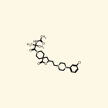 CC(=O)NC(C)(C)C(=O)N1CCC2(CC1)CC(CCN1CCN(c3cccc(Cl)c3)CC1)OC2=O